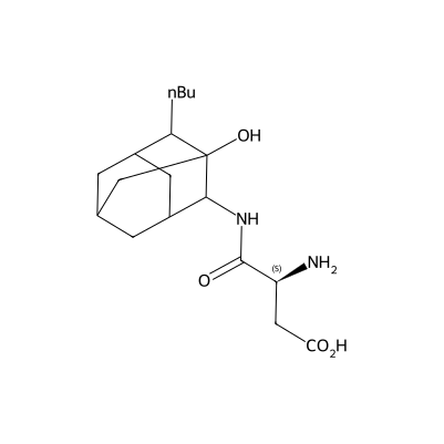 CCCCC1C2CC3CC(C2)C(NC(=O)[C@@H](N)CC(=O)O)C1(O)C3